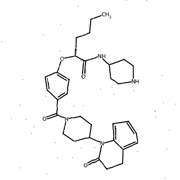 CCCCC(Oc1ccc(C(=O)N2CCC(N3C(=O)CCc4ccccc43)CC2)cc1)C(=O)NC1CCNCC1